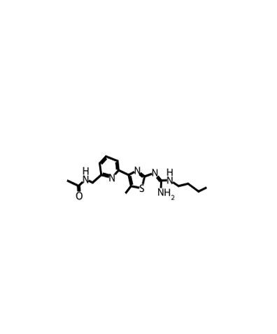 CCCCN/C(N)=N/c1nc(-c2cccc(CNC(C)=O)n2)c(C)s1